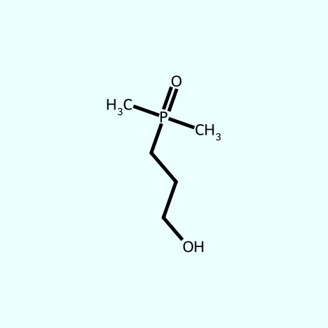 CP(C)(=O)CCCO